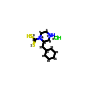 Cl.S=C(S)N1CCNCC1CC1CCCCC1